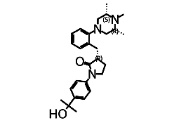 C[C@@H]1CN(c2ccccc2C[C@@H]2CCN(c3ccc(C(C)(C)O)cc3)C2=O)C[C@H](C)N1C